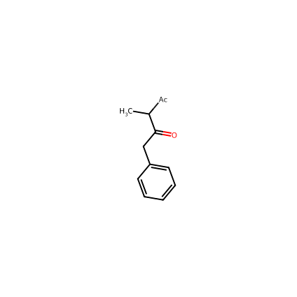 CC(=O)C(C)C(=O)Cc1ccccc1